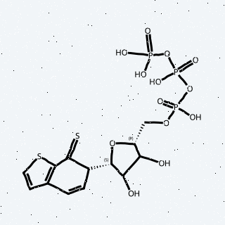 O=P(O)(O)OP(=O)(O)OP(=O)(O)OC[C@H]1O[C@@H](C2C=Cc3ccsc3C2=S)C(O)C1O